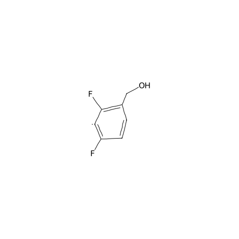 OCc1ccc(F)[c]c1F